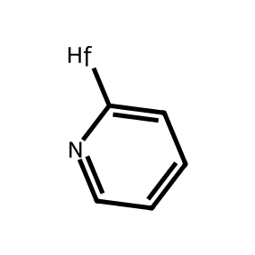 [Hf][c]1ccccn1